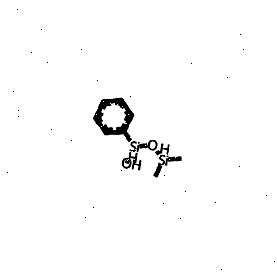 C[SiH](C)O[SiH](O)c1ccccc1